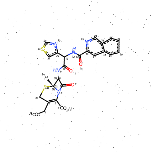 CC(=O)OCC1=C(C(=O)O)N2C(=O)[C@@H](NC(=O)C(NC(=O)c3cc4ccccc4cn3)c3cscn3)[C@H]2SC1